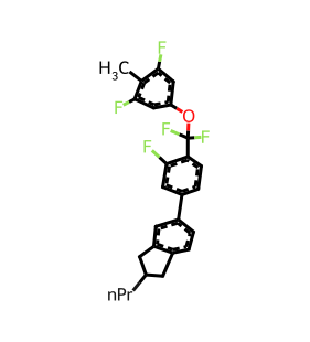 CCCC1Cc2ccc(-c3ccc(C(F)(F)Oc4cc(F)c(C)c(F)c4)c(F)c3)cc2C1